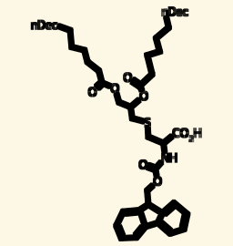 CCCCCCCCCCCCCCCC(=O)OCC(CSCC(NC(=O)OCC1c2ccccc2-c2ccccc21)C(=O)O)OC(=O)CCCCCCCCCCCCCCC